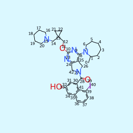 CC1CCCCCN1c1nc(OCC2(CN3CCCCC3)CC2)nc2c1CN(C(=O)c1cc(O)cc3cccc(I)c13)C2